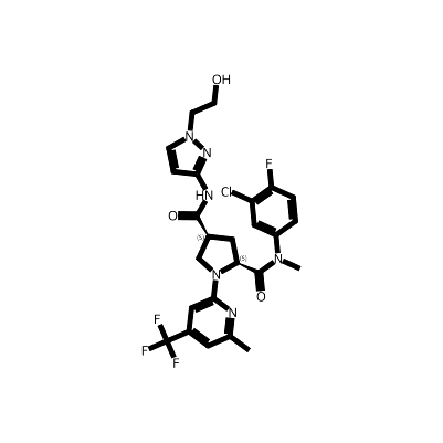 Cc1cc(C(F)(F)F)cc(N2C[C@@H](C(=O)Nc3ccn(CCO)n3)C[C@H]2C(=O)N(C)c2ccc(F)c(Cl)c2)n1